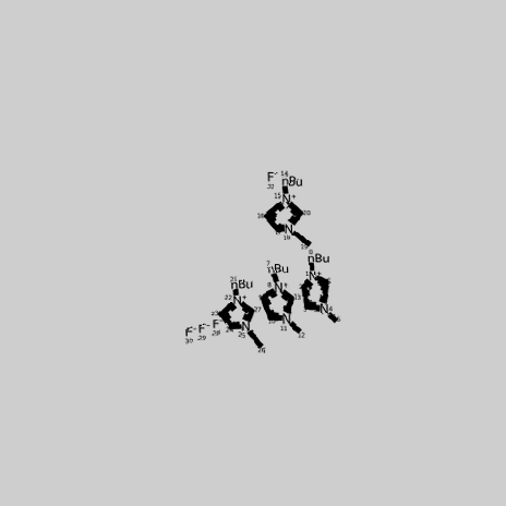 CCCC[n+]1ccn(C)c1.CCCC[n+]1ccn(C)c1.CCCC[n+]1ccn(C)c1.CCCC[n+]1ccn(C)c1.[F-].[F-].[F-].[F-]